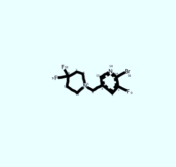 Fc1cc(CN2CCC(F)(F)CC2)cnc1Br